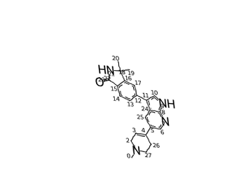 CN1CC=C(c2cnc3[nH]cc(-c4ccc5c(c4)C(C)(C)NC5=O)c3c2)CC1